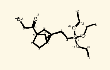 CCO[Si](CCC1=C2CCC(C(=O)CS)(C2)C1)(OCC)OCC